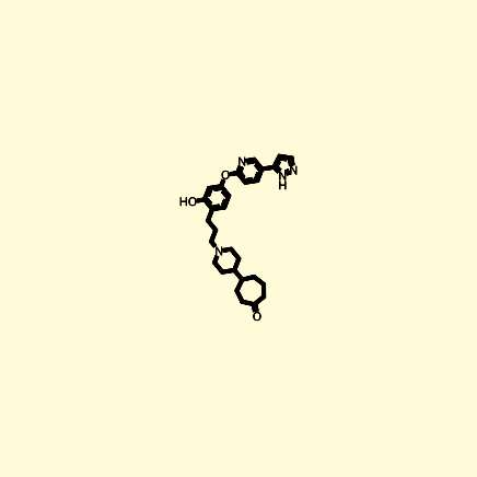 O=C1CCCC(C2CCN(CCCc3ccc(Oc4ccc(-c5ccn[nH]5)cn4)cc3O)CC2)CC1